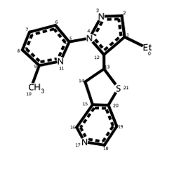 CCc1cnn(-c2cccc(C)n2)c1C1Cc2cnccc2S1